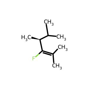 CC(C)=C(F)[C@@H](C)C(C)C